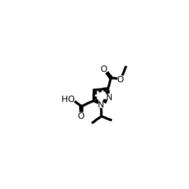 COC(=O)c1cc(C(=O)O)n(C(C)C)n1